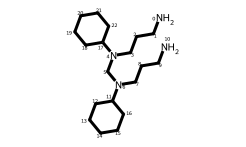 NCCCN(CN(CCCN)C1CCCCC1)C1CCCCC1